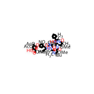 C#CCC(OC(=O)N(C)[C@H](C(=O)N[C@H](C(=O)N(C)[C@@H]([C@@H](C)CC)[C@@H](CC(=O)N1CCC[C@H]1[C@H](OC)[C@@H](C)C(=O)N[C@H](C)[C@@H](O)c1ccccc1)OC)C(C)C)C(C)C)c1ccc(O[C@@H]2OC(C(=O)OC)[C@@H](O)[C@H](OC(C)=O)C2OC(C)=O)c([N+](=O)[O-])c1